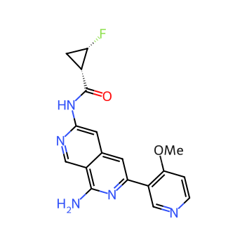 COc1ccncc1-c1cc2cc(NC(=O)[C@@H]3C[C@@H]3F)ncc2c(N)n1